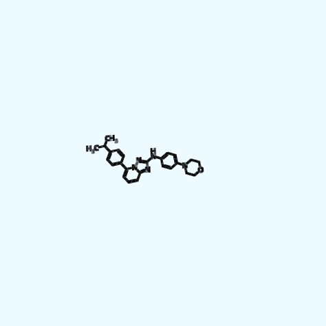 CC(C)c1ccc(-c2cccc3nc(Nc4ccc(N5CCOCC5)cc4)nn23)cc1